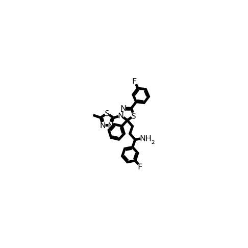 Cc1nnc(N2N=C(c3cccc(F)c3)SC2(CCC(N)c2cccc(F)c2)c2ccccc2)s1